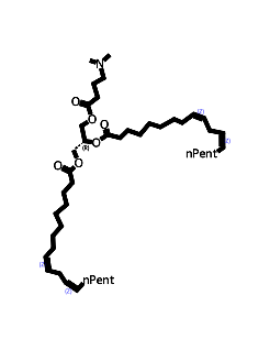 CCCCC/C=C\C/C=C\CCCCCCCC(=O)OC[C@H](COC(=O)CCCN(C)C)OC(=O)CCCCCCC/C=C\C/C=C\CCCCC